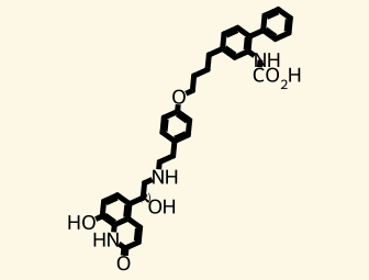 O=C(O)Nc1cc(CCCCOc2ccc(CCNC[C@H](O)c3ccc(O)c4[nH]c(=O)ccc34)cc2)ccc1-c1ccccc1